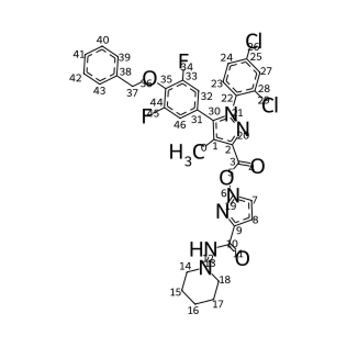 Cc1c(C(=O)On2ccc(C(=O)NN3CCCCC3)n2)nn(-c2ccc(Cl)cc2Cl)c1-c1cc(F)c(OCc2ccccc2)c(F)c1